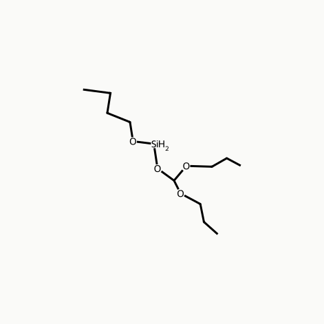 CCCCO[SiH2]OC(OCCC)OCCC